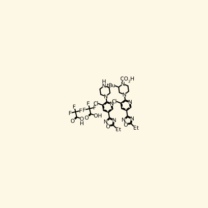 CCc1nc(-c2cnc(N3CCN(C(=O)O)C(C(C)(C)C)C3)c(Cl)c2)no1.CCc1nc(-c2cnc(N3CCNCC3)c(Cl)c2)no1.O=C(O)C(F)(F)F.O=C(O)C(F)(F)F